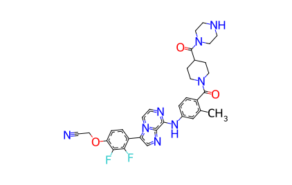 Cc1cc(Nc2nccn3c(-c4ccc(OCC#N)c(F)c4F)cnc23)ccc1C(=O)N1CCC(C(=O)N2CCNCC2)CC1